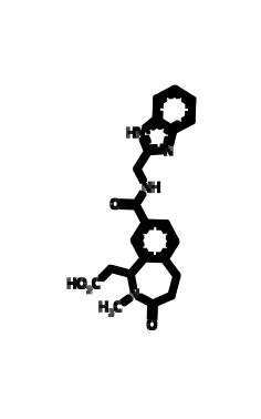 CN1C(=O)CCc2ccc(C(=O)NCc3nc4ccccc4[nH]3)cc2C1CC(=O)O